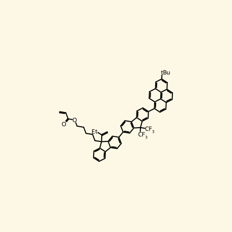 C=CC(=O)OCCCCCC1(C(=C)CC)c2ccccc2-c2ccc(-c3ccc4c(c3)C(C(F)(F)F)(C(F)(F)F)c3cc(-c5ccc6ccc7cc(C(C)(C)C)cc8ccc5c6c78)ccc3-4)cc21